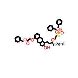 CCCCCC(CCC1C2Cc3cccc(OCC(=O)OCc4ccccc4)c3CC2C[C@H]1O)OCCSP(=O)(OCc1ccccc1)OCc1ccccc1